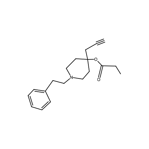 C#CCC1(OC(=O)CC)CCN(CCc2ccccc2)CC1